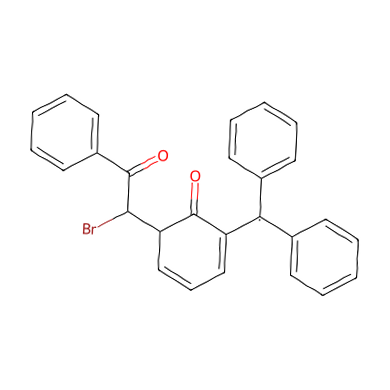 O=C(c1ccccc1)C(Br)C1C=CC=C([C](c2ccccc2)c2ccccc2)C1=O